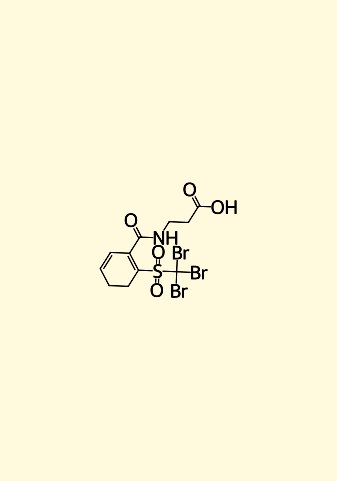 O=C(O)CCNC(=O)C1=C(S(=O)(=O)C(Br)(Br)Br)CCC=C1